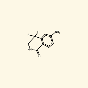 Nc1ccc2c(c1)C(F)(F)CNC2=O